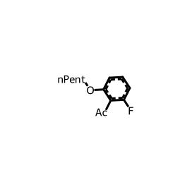 CCCCCOc1cccc(F)c1C(C)=O